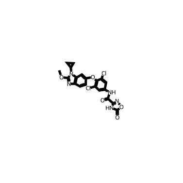 COc1nc2ccc(Oc3c(Cl)cc(NC(=O)c4noc(=O)[nH]4)cc3Cl)cc2n1C1CC1